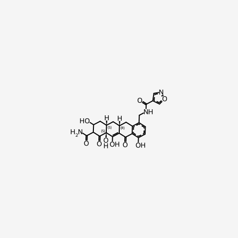 NC(=O)C1C(=O)[C@@]2(O)C(O)=C3C(=O)c4c(O)ccc(CNC(=O)c5cnoc5)c4C[C@H]3C[C@H]2CC1O